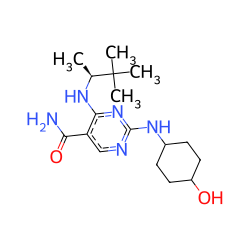 C[C@H](Nc1nc(NC2CCC(O)CC2)ncc1C(N)=O)C(C)(C)C